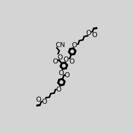 C=CC(=O)OCCCCCOc1ccc(C(=O)Oc2ccc(OC(=O)c3ccc(OCCCCCOC(=O)C=C)cc3)c(C(=O)OCCCC#N)c2)cc1